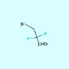 O=[C]C(F)(F)CBr